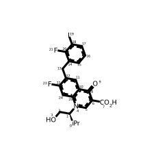 CC(C)[C@@H](CO)n1cc(C(=O)O)c(=O)c2cc(Cc3cccc(I)c3F)c(F)cc21